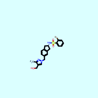 O=S(=O)(N[C@H]1Cc2ccc(Cn3cc(CO)c(C(F)(F)F)n3)cc2C1)c1ccccc1Br